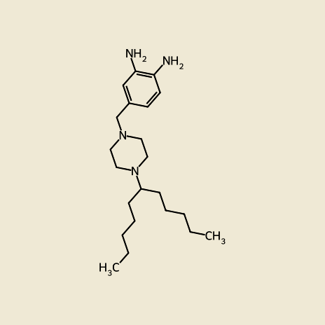 CCCCCC(CCCCC)N1CCN(Cc2ccc(N)c(N)c2)CC1